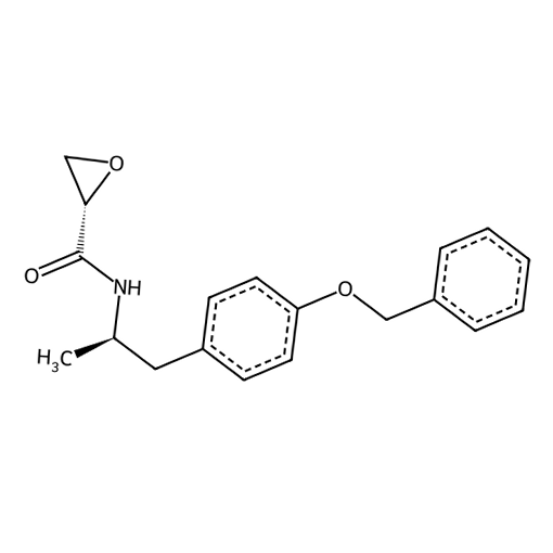 C[C@H](Cc1ccc(OCc2ccccc2)cc1)NC(=O)[C@@H]1CO1